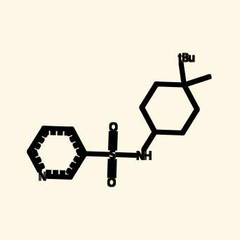 CC(C)(C)C1(C)CCC(NS(=O)(=O)c2cccnc2)CC1